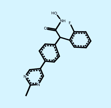 Cc1ncc(-c2ccc(C(C(=O)NO)c3ccccc3F)cc2)cn1